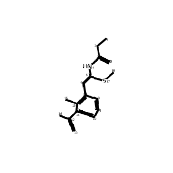 C=C(CC)NC(Cc1cccc(C(=C)C)c1C)SC